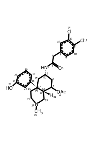 CC(=O)OC1C[C@@H](NC(=O)Cc2ccc(Cl)c(Cl)c2)C[C@]2(c3cccc(O)c3)CCN(C)C[C@@H]12